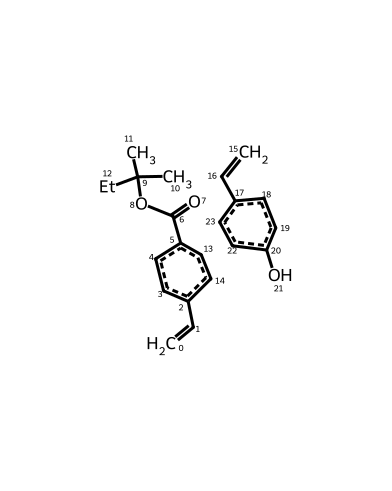 C=Cc1ccc(C(=O)OC(C)(C)CC)cc1.C=Cc1ccc(O)cc1